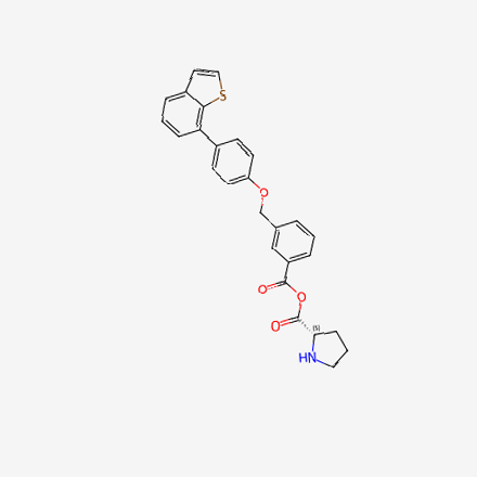 O=C(OC(=O)[C@@H]1CCCN1)c1cccc(COc2ccc(-c3cccc4ccsc34)cc2)c1